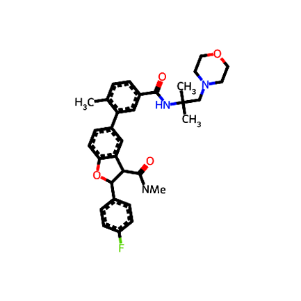 CNC(=O)C1c2cc(-c3cc(C(=O)NC(C)(C)CN4CCOCC4)ccc3C)ccc2OC1c1ccc(F)cc1